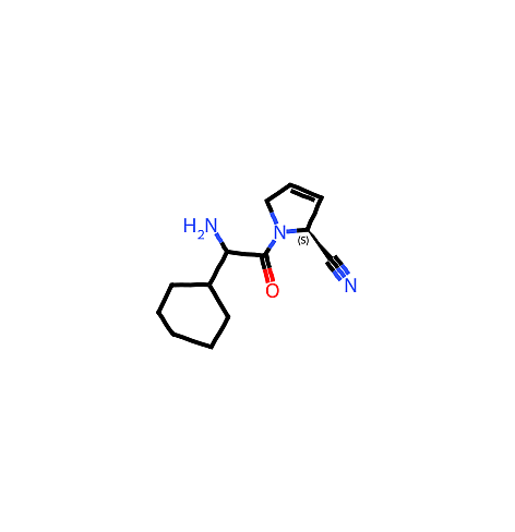 N#C[C@@H]1C=CCN1C(=O)C(N)C1CCCCC1